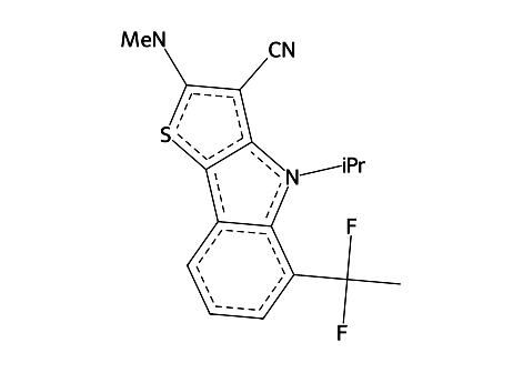 CNc1sc2c3cccc(C(C)(F)F)c3n(C(C)C)c2c1C#N